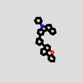 c1ccc(-n2c3ccc(-c4cccc(-c5ccc6c7c(cccc57)-c5ccccc5O6)c4)cc3c3c4ccccc4ccc32)cc1